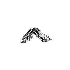 [Cr+3].[Cr+3].[Fe+3].[Fe+3].[La+3].[La+3].[O-2].[O-2].[O-2].[O-2].[O-2].[O-2].[O-2].[O-2].[O-2].[O-2].[O-2].[Sr+2].[Sr+2]